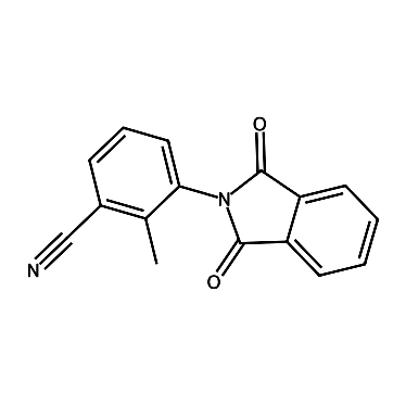 Cc1c(C#N)cccc1N1C(=O)c2ccccc2C1=O